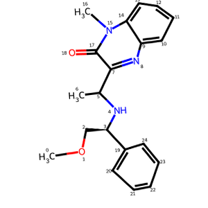 COC[C@@H](NC(C)c1nc2ccccc2n(C)c1=O)c1ccccc1